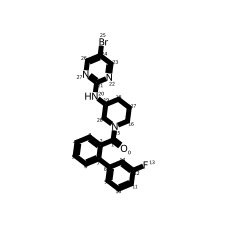 O=C(c1ccccc1-c1cccc(F)c1)N1CCCC(Nc2ncc(Br)cn2)C1